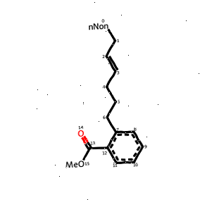 CCCCCCCCCCC=CCCCc1ccc[c]c1C(=O)OC